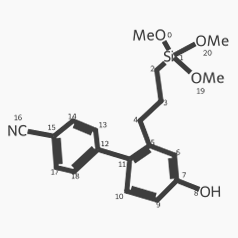 CO[Si](CCCc1cc(O)ccc1-c1ccc(C#N)cc1)(OC)OC